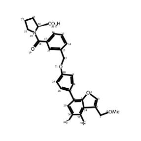 COCc1coc2c(-c3ccc(OCc4cccc(C(=O)N5CCC[C@H]5C(=O)O)c4)cc3)cc(F)c(F)c12